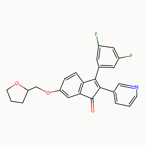 O=C1C(c2cccnc2)=C(c2cc(F)cc(F)c2)c2ccc(OCC3CCCO3)cc21